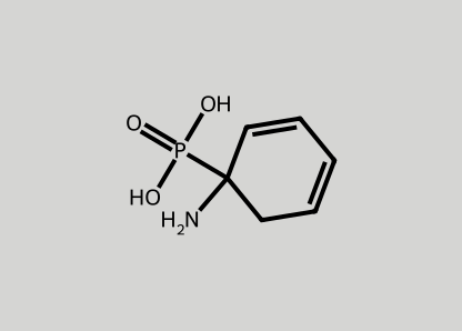 NC1(P(=O)(O)O)C=CC=CC1